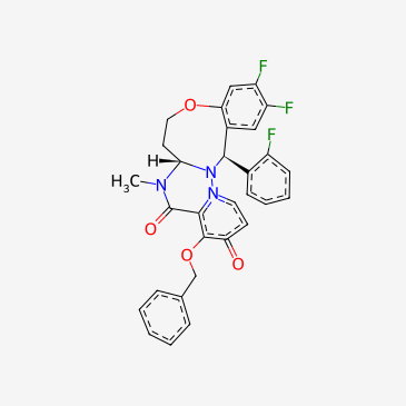 CN1C(=O)c2c(OCc3ccccc3)c(=O)ccn2N2[C@H](c3ccccc3F)c3cc(F)c(F)cc3OCC[C@@H]12